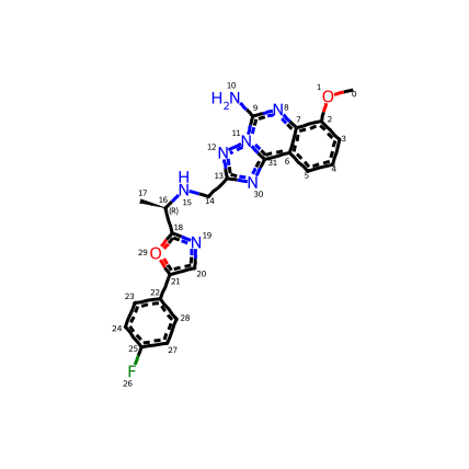 COc1cccc2c1nc(N)n1nc(CN[C@H](C)c3ncc(-c4ccc(F)cc4)o3)nc21